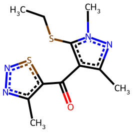 CCSc1c(C(=O)c2snnc2C)c(C)nn1C